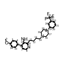 COc1ccc(-c2ccnc(CCCCN3CCN(c4cccc(C(F)(F)F)c4)CC3)c2N)cc1